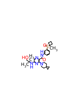 CC(C)(CO)Nc1cnc(C(=O)Nc2cccc([S+]([O-])C3(C)CCC3)c2)c(N2CCC3(CC2)CC3)n1